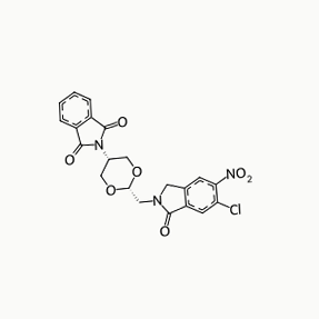 O=C1c2cc(Cl)c([N+](=O)[O-])cc2CN1C[C@H]1OC[C@@H](N2C(=O)c3ccccc3C2=O)CO1